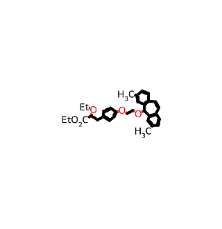 CCOC(=O)C(Cc1ccc(OCCOC2c3cc(C)ccc3C=Cc3ccc(C)cc32)cc1)OCC